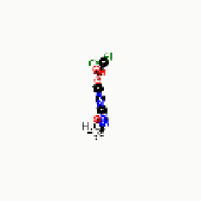 CCC(C)n1ncn(-c2ccc(N3CCN(c4ccc(OC[C@@H]5COC(c6ccc(Cl)cc6Cl)O5)cc4)CC3)cc2)c1=O